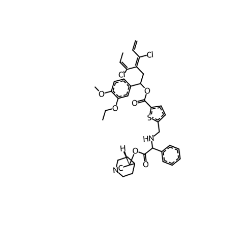 C=C/C(Cl)=C(CC(OC(=O)c1ccc(CNC(C(=O)O[C@H]2CN3CCC2CC3)c2ccccc2)s1)c1ccc(OC)c(OCC)c1)\C(Cl)=C/C